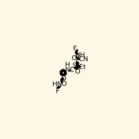 CCn1c(=C=C(C#N)C(=O)NCCF)sc(=C=CNc2cccc(OCC(=O)NCCF)c2)c1=O